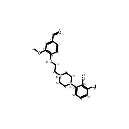 COc1cc(C=O)ccc1OCCN1CCN(c2cccc(Cl)c2Cl)CC1